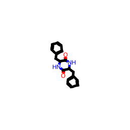 O=C1NC(Cc2ccccc2)C(=O)NC1Cc1ccccc1